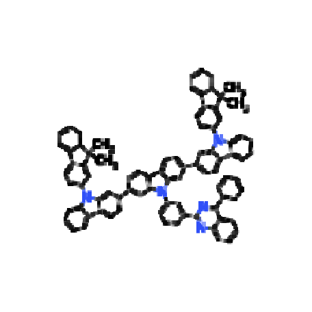 CC1(C)c2ccccc2-c2ccc(-n3c4ccccc4c4ccc(-c5ccc6c7ccc(-c8ccc9c%10ccccc%10n(-c%10ccc%11c(c%10)C(C)(C)c%10ccccc%10-%11)c9c8)cc7n(-c7cccc(-c8nc(-c9ccccc9)c9ccccc9n8)c7)c6c5)cc43)cc21